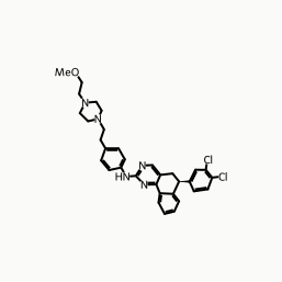 COCCN1CCN(CCc2ccc(Nc3ncc4c(n3)-c3ccccc3[C@H](c3ccc(Cl)c(Cl)c3)C4)cc2)CC1